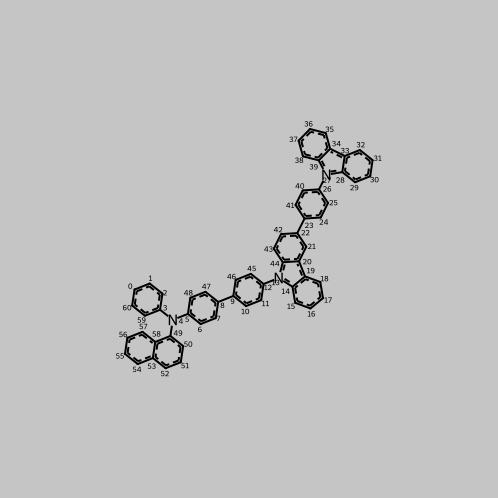 c1ccc(N(c2ccc(-c3ccc(-n4c5ccccc5c5cc(-c6ccc(-n7c8ccccc8c8ccccc87)cc6)ccc54)cc3)cc2)c2cccc3ccccc23)cc1